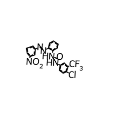 O=C(Nc1ccc(Cl)c(C(F)(F)F)c1)Nc1ccccc1N=Nc1cccc([N+](=O)[O-])c1